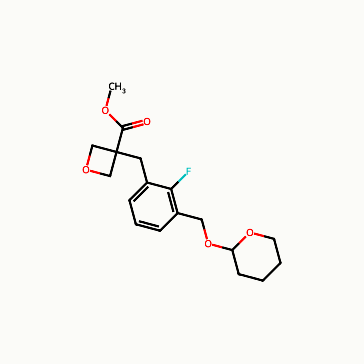 COC(=O)C1(Cc2cccc(COC3CCCCO3)c2F)COC1